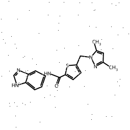 Cc1cc(C)n(Cc2ccc(C(=O)Nc3ccc4[nH]cnc4c3)s2)n1